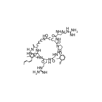 C=C(N)C1CCCNC(=O)CC[C@H](NC(=O)[C@H](CCCNC(=N)N)NC(C)=O)C(=O)N2CCC[C@H]2C(=O)N[C@H](Cc2ccccc2F)C(=O)N[C@@H](CCCNC(=N)N)C(=O)N[C@@H](Cc2c[nH]c(C)c2/C=C\C=C/C)C(=O)N1